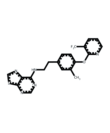 Cc1cc(CCNc2ncnc3scnc23)ccc1Oc1ncccc1C(F)(F)F